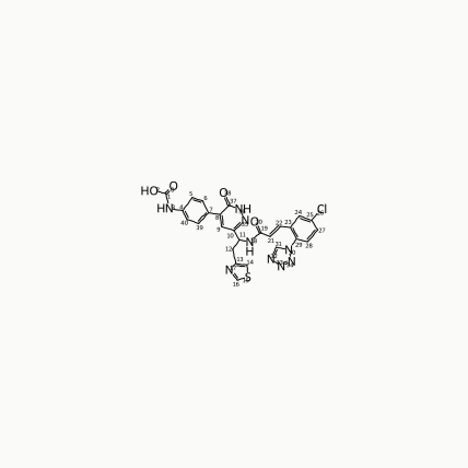 O=C(O)Nc1ccc(-c2cc(C(Cc3cscn3)NC(=O)C=Cc3cc(Cl)ccc3-n3cnnn3)n[nH]c2=O)cc1